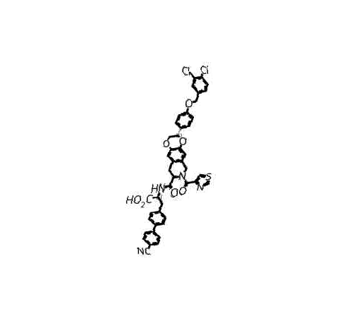 N#Cc1ccc(-c2ccc(C[C@H](NC(=O)C3Cc4cc5c(cc4CN3C(=O)c3cscn3)O[C@@H](c3ccc(OCc4ccc(Cl)c(Cl)c4)cc3)CO5)C(=O)O)cc2)cc1